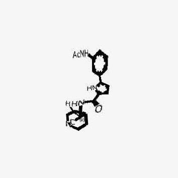 CC(=O)Nc1cccc(-c2ccc(C(=O)N[C@H]3CN4CCC3CC4)[nH]2)c1